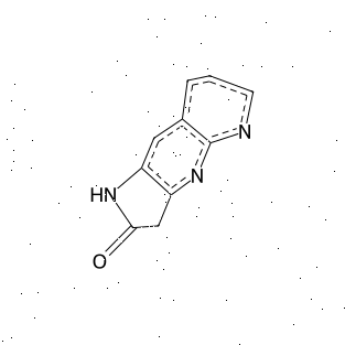 O=C1Cc2nc3ncccc3cc2N1